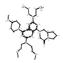 COCCN(CCOC)c1nc(N2CCC(OC)CC2)c2nc(N(CCO)CCO)nc(N3CC(=O)N4CCCC4C3)c2n1